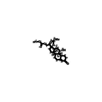 CCCOC(=O)OCC(=O)[C@@]1(OC(=O)OC)CC[C@H]2[C@@H]3CCC4=CC(=O)CC[C@]4(C)[C@H]3[C@@H](O)C[C@@]21C